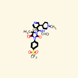 CN1CCC(c2cnccc2C(NC=O)N2C(=O)N(c3ccc(S(=O)(=O)C(F)(F)F)cc3)C(=O)C2(C)C)CC1